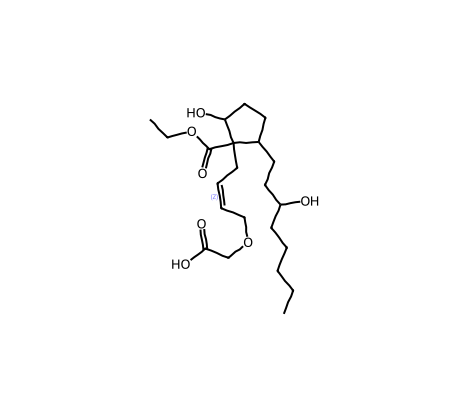 CCCCCC(O)CCC1CCC(O)C1(C/C=C\COCC(=O)O)C(=O)OCC